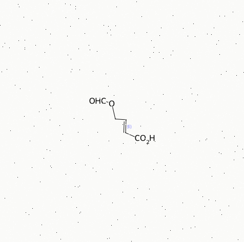 O=COC/C=C/C(=O)O